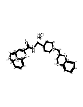 Cl.Cl.O=C(NCC1CCN(CC2COc3ccccc3O2)CC1)C1=Cc2cnc3cccc(n23)S1